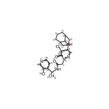 CC(NC(=O)Cn1ncc(NC2C3CCCC2CCC3)c(Cl)c1=O)c1ccncc1Cl